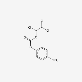 O=C(Oc1ccc([N+](=O)[O-])cc1)OC(Cl)C(Cl)Cl